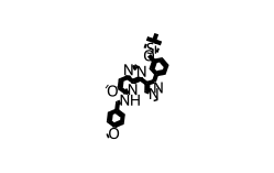 COc1ccc(CNc2nc3c(-c4cn(C)nc4-c4cccc(O[Si](C)(C)C(C)(C)C)c4)ncnc3cc2OC)cc1